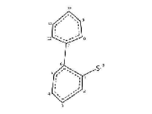 [S]c1ccccc1-c1ccccc1